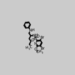 CCCCC(CNc1ccccc1)NS(=O)(=O)c1nc(OC)c(Br)cc1Br